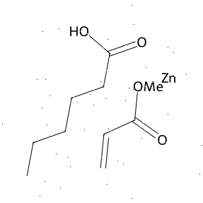 C=CC(=O)OC.CCCCCC(=O)O.[Zn]